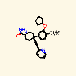 COc1ccc(C2(C#Cc3ccccn3)CCC(C(N)=O)CC2)cc1OC1CCCC1